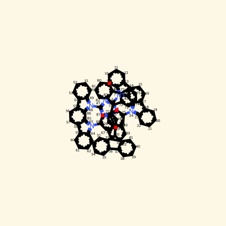 c1ccc(-c2nc(-n3c4ccccc4c4ccc5c6ccccc6n(-c6cccc(C7c8ccccc8-c8ccccc87)c6)c5c43)nc(-n3c4ccccc4c4ccc5c6ccccc6n(-c6cccc(C7c8ccccc8-c8ccccc87)c6)c5c43)n2)cc1